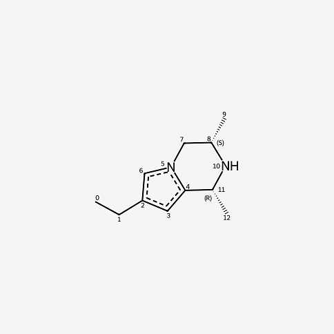 CCc1cc2n(c1)C[C@H](C)N[C@@H]2C